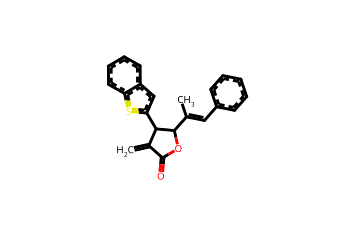 C=C1C(=O)OC(/C(C)=C/c2ccccc2)C1c1cc2ccccc2s1